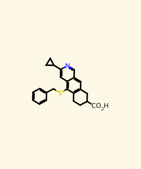 O=C(O)C1CCc2c(cc3cnc(C4CC4)cc3c2SCc2ccccc2)C1